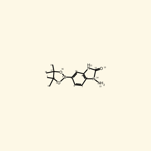 CC1(C)OB(c2ccc3c(c2)[nH]c(=O)n3N)OC1(C)C